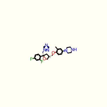 Cc1cc(N2CCNCC2)ccc1OC[C@@H]1CO[C@@](Cn2cncn2)(c2ccc(F)cc2F)C1